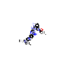 C=CC(=O)N1CCC(n2c(Nc3ccccc3)nc3cnc(Nc4ccc(N5CCC(N(C)C)CC5)cc4)nc32)C1